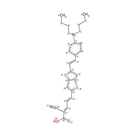 CCCCN(CCCC)c1ccc(/C=C/c2cc3sc(/C=C/C=C(\C#N)C(=O)O)cc3s2)cc1